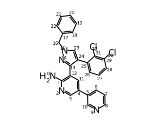 Nc1ncc(-c2cccnc2)cc1-c1nn(Cc2ccccc2)cc1-c1cccc(Cl)c1Cl